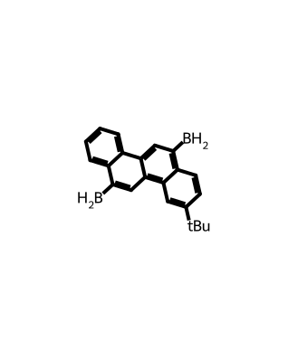 Bc1cc2c3cc(C(C)(C)C)ccc3c(B)cc2c2ccccc12